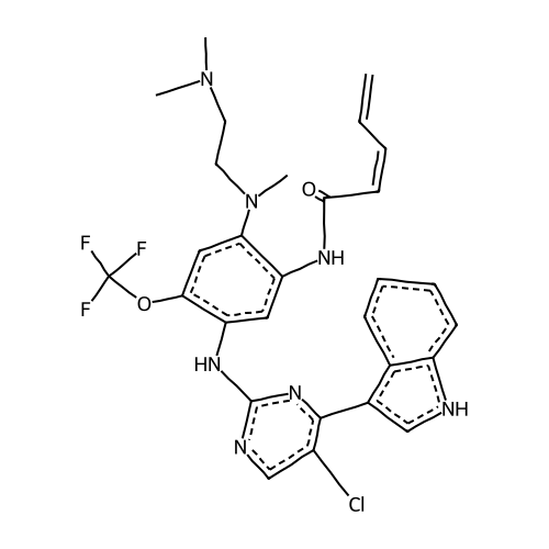 C=C/C=C\C(=O)Nc1cc(Nc2ncc(Cl)c(-c3c[nH]c4ccccc34)n2)c(OC(F)(F)F)cc1N(C)CCN(C)C